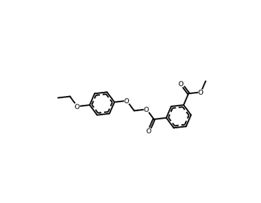 CCOc1ccc(OCOC(=O)c2cccc(C(=O)OC)c2)cc1